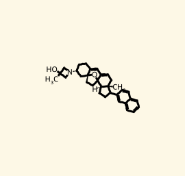 CC1(O)CN([C@@H]2CCC3=CC4=CC[C@]5(C)C(c6ccc7ccccc7c6)CC[C@H]5C45CC[C@]3(C2)O5)C1